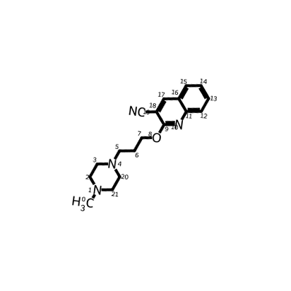 CN1CCN(CCCOc2nc3ccccc3cc2C#N)CC1